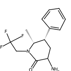 C[C@@H]1[C@H](c2ccccc2)CC(N)C(=O)N1CC(F)(F)F